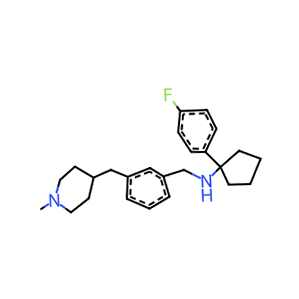 CN1CCC(Cc2cccc(CNC3(c4ccc(F)cc4)CCCC3)c2)CC1